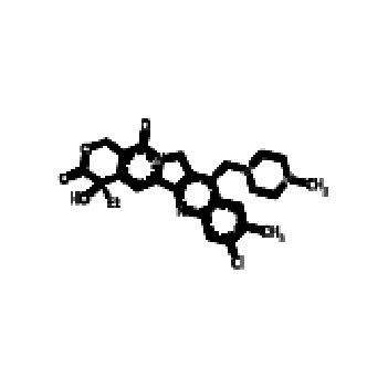 CC[C@@]1(O)C(=O)OCc2c1cc1n(c2=O)Cc2c-1nc1cc(Cl)c(C)cc1c2CN1CCN(C)CC1